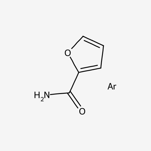 NC(=O)c1ccco1.[Ar]